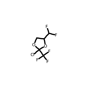 FC(F)C1COC(Cl)(C(F)(F)F)O1